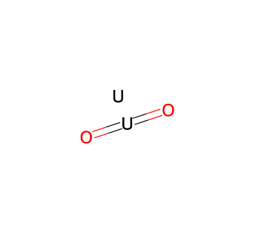 [O]=[U]=[O].[U]